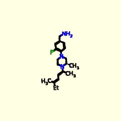 CC/C(C)=C/C=C(\C)N1CCN(c2ccc(CN)cc2F)C[C@@H]1C